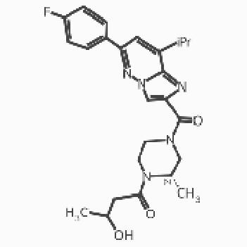 CC(O)CC(=O)N1CCN(C(=O)c2cn3nc(-c4ccc(F)cc4)cc(C(C)C)c3n2)C[C@@H]1C